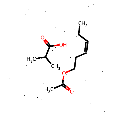 CC(C)C(=O)O.CC/C=C\CCOC(C)=O